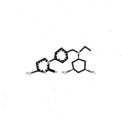 CCN(Cc1ccc(-n2ccc(N)nc2=O)cc1)[C@@H]1C[C@H](N)C[C@H](N)C1